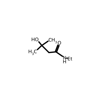 CCNC(=O)CC(C)(C)O